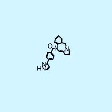 O=C(c1ccc(-c2cc[nH]n2)cc1)N1C=C2CC=CN2Cc2ccccc21